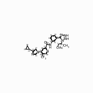 CC(=O)OC[C@@H](C)N1NNN=C1c1cccc(NC(=O)c2cc(-n3cnc(C4CC4)c3)c(C(F)(F)F)cn2)c1